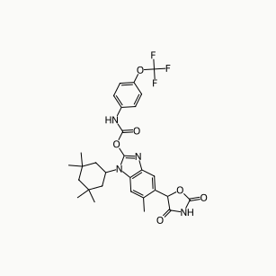 Cc1cc2c(cc1C1OC(=O)NC1=O)nc(OC(=O)Nc1ccc(OC(F)(F)F)cc1)n2C1CC(C)(C)CC(C)(C)C1